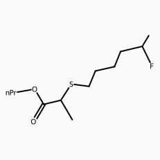 CCCOC(=O)C(C)SCCCCC(C)F